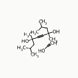 C#CO.CC(C)CC(C)(O)C#CC(C)(O)CC(C)C